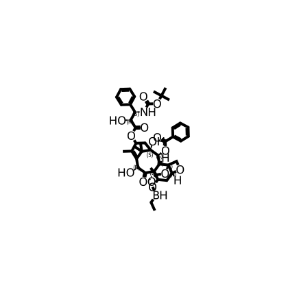 CCBOC1C[C@H]2OC[C@@]2(OC(C)=O)[C@H]2[C@H](OC(=O)c3ccccc3)[C@]3(O)CC(OC(=O)[C@H](O)[C@@H](NC(=O)OC(C)(C)C)c4ccccc4)C(C)=C([C@@H](O)C(=O)[C@]12C)C3(C)C